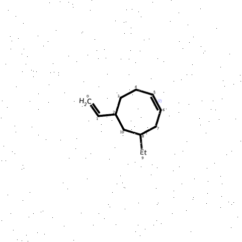 C=CC1CC/C=C\CC(CC)C1